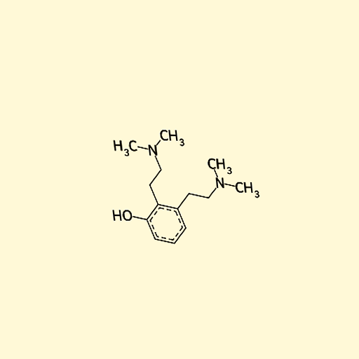 CN(C)CCc1cccc(O)c1CCN(C)C